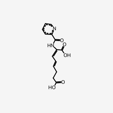 O=C(O)CCC=CC=C(NC(=O)c1ccccn1)C(=O)O